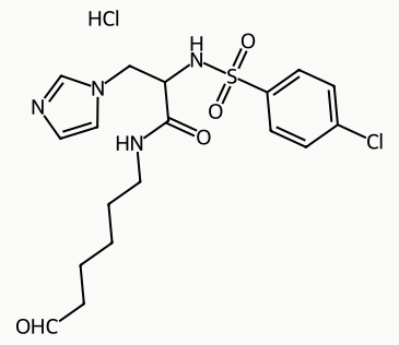 Cl.O=CCCCCCNC(=O)C(Cn1ccnc1)NS(=O)(=O)c1ccc(Cl)cc1